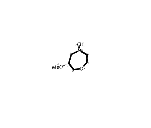 CO[C@H]1COCCN(C)C1